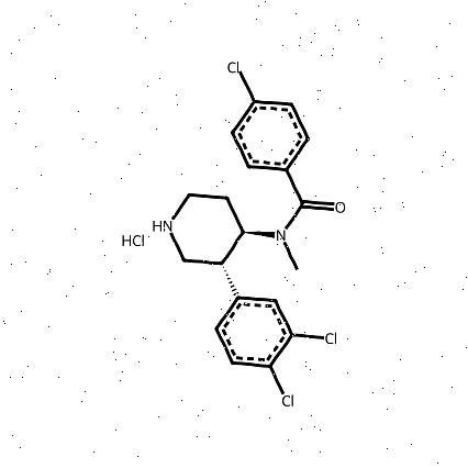 CN(C(=O)c1ccc(Cl)cc1)[C@@H]1CCNC[C@H]1c1ccc(Cl)c(Cl)c1.Cl